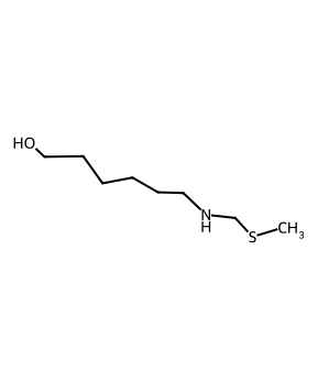 CSCNCCCCCCO